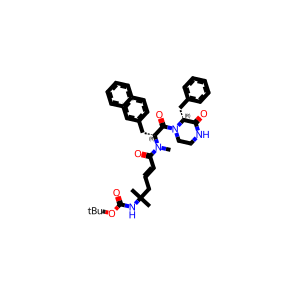 CN(C(=O)C=CCC(C)(C)NC(=O)OC(C)(C)C)[C@H](Cc1ccc2ccccc2c1)C(=O)N1CCNC(=O)[C@H]1Cc1ccccc1